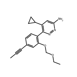 CC#Cc1ccc(-c2nnc(N)cc2C2CC2)c(OCOCC)c1